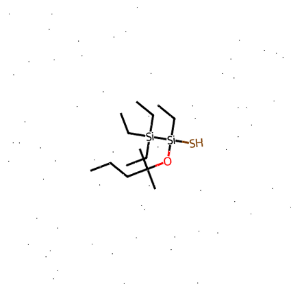 CCCC(C)(C)O[Si](S)(CC)[Si](CC)(CC)CC